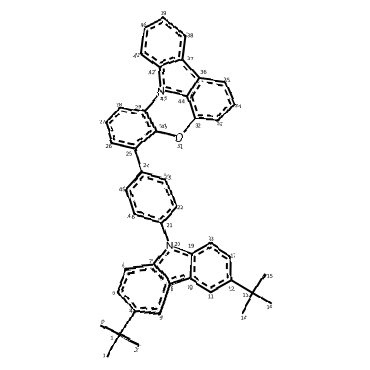 CC(C)(C)c1ccc2c(c1)c1cc(C(C)(C)C)ccc1n2-c1ccc(-c2cccc3c2Oc2cccc4c5ccccc5n-3c24)cc1